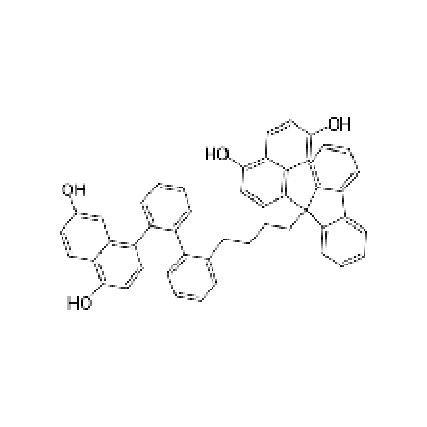 Oc1ccc2c(O)ccc(-c3ccccc3-c3ccccc3CCCCC3(c4ccc(O)c5ccc(O)cc45)c4ccccc4-c4ccccc43)c2c1